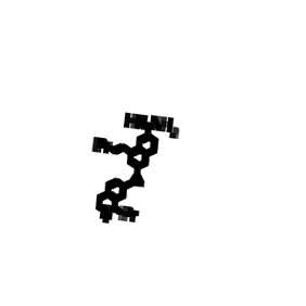 CC(C)/C=C/c1cc(C2CC2c2ccc3c(c2)C(C(C)C)N(C)CC3)cc2ccc(C(=N)N)cc12